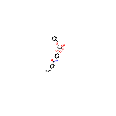 CCc1ccc(C(=O)Nc2ccc(S(=O)(=O)C(CCOCc3ccccc3)C(=O)O)cc2)cc1